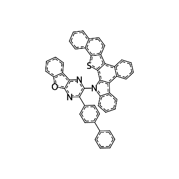 c1ccc(-c2ccc(-c3nc4oc5ccccc5c4nc3-n3c4ccccc4c4c5ccccc5c5c6ccc7ccccc7c6sc5c43)cc2)cc1